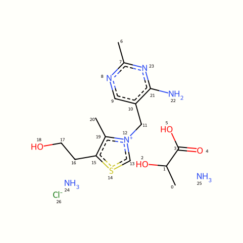 CC(O)C(=O)O.Cc1ncc(C[n+]2csc(CCO)c2C)c(N)n1.N.N.[Cl-]